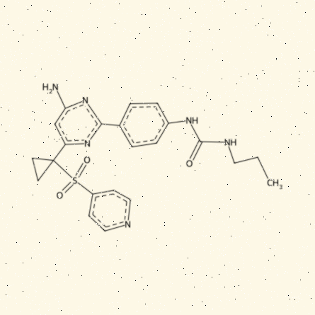 CCCNC(=O)Nc1ccc(-c2nc(N)cc(C3(S(=O)(=O)c4ccncc4)CC3)n2)cc1